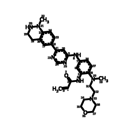 C=CC(=O)Nc1cc(Nc2cc(-c3ccc4c(c3)CCNN4C)ncn2)ccc1N(C)CCN1CCOCC1